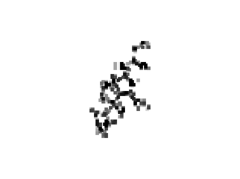 C.Cc1nc(NC(=O)CCl)sc1S(=O)(=O)c1cn2n1C2